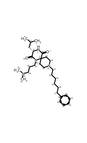 CC(C)C[C@@H]1NC(=O)C2(CCN(CCCCCCc3ccccc3)CC2)N(CCCN(C)C)C1=O